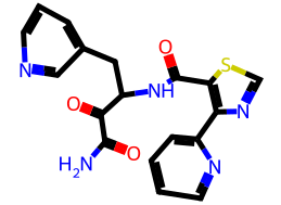 NC(=O)C(=O)C(Cc1cccnc1)NC(=O)c1scnc1-c1ccccn1